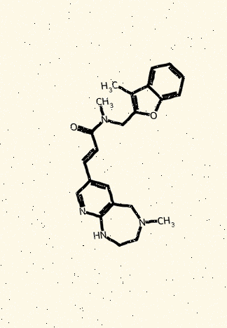 Cc1c(CN(C)C(=O)C=Cc2cnc3c(c2)CN(C)CCN3)oc2ccccc12